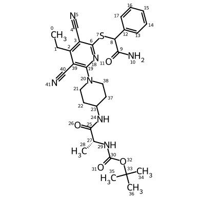 CCc1c(C#N)c(SC(C(N)=O)c2ccccc2)nc(N2CCC(NC(=O)[C@@H](C)NC(=O)OC(C)(C)C)CC2)c1C#N